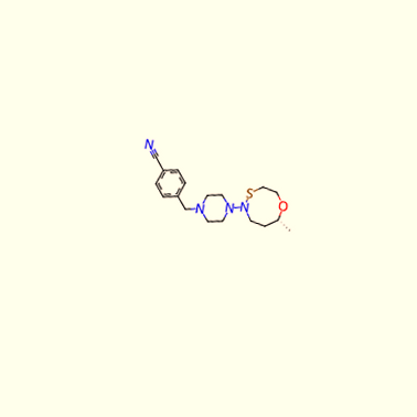 C[C@@H]1CCN(N2CCN(Cc3ccc(C#N)cc3)CC2)SCCO1